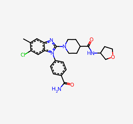 Cc1cc2nc(N3CCC(C(=O)NC4CCOC4)CC3)n(-c3ccc(C(N)=O)cc3)c2cc1Cl